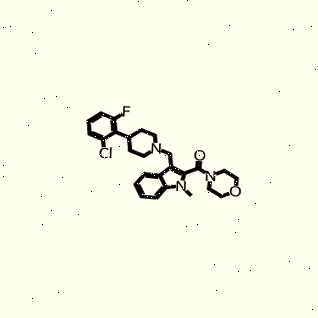 Cn1c(C(=O)N2CCOCC2)c(CN2CCC(c3c(F)cccc3Cl)CC2)c2ccccc21